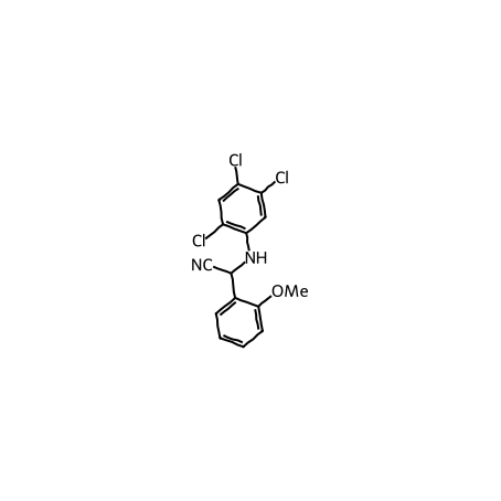 COc1ccccc1C(C#N)Nc1cc(Cl)c(Cl)cc1Cl